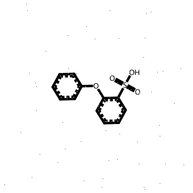 O=S(=O)(O)c1ccccc1Oc1[c]cccc1